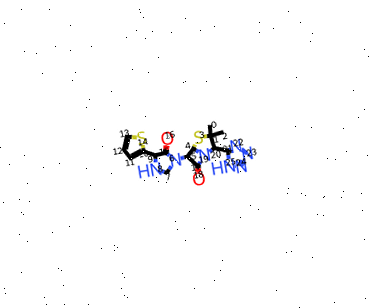 CC1(C)SC2C(N3CNC(c4cccs4)C3=O)C(=O)N2C1c1nnn[nH]1